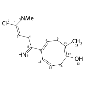 CN/C(Cl)=C\CC(=N)C1=C/C/C(C)=C(/O)C/C=C\1